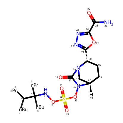 CCCCC(CCC)C(CCC)(CCCC)NOS(=O)(=O)ON1C(=O)N2C[C@@H]1CC[C@H]2c1nnc(C(N)=O)o1